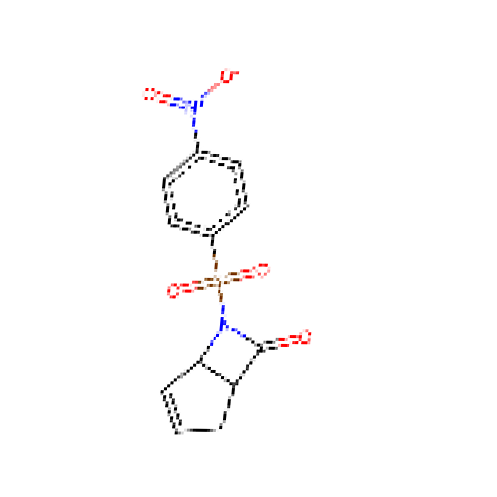 O=C1C2CC=CC2N1S(=O)(=O)c1ccc([N+](=O)[O-])cc1